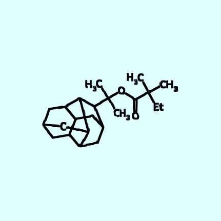 CCC(C)(C)C(=O)OC(C)(C)C1C2CC3C4CC5CC3C1C(C5)C4C2